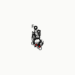 CC[C@H]1OC(=O)[C@H](C)C(=O)[C@H](C)[C@@H](O[C@@H]2O[C@H](C)C[C@H](N(C)C)[C@H]2O)[C@@](C)(CC#Cc2cccc(Oc3cccc(F)c3)c2)C[C@@H](C)C2=NCCN3C(=O)O[C@@]1(C)[C@H]3[C@H]2C